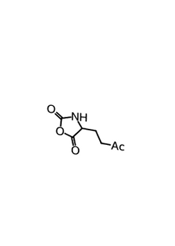 CC(=O)CCC1NC(=O)OC1=O